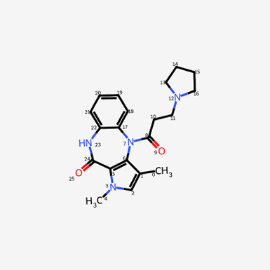 Cc1cn(C)c2c1N(C(=O)CCN1CCCC1)c1ccccc1NC2=O